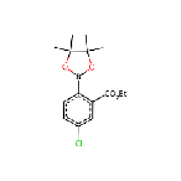 CCOC(=O)c1cc(Cl)ccc1B1OC(C)(C)C(C)(C)O1